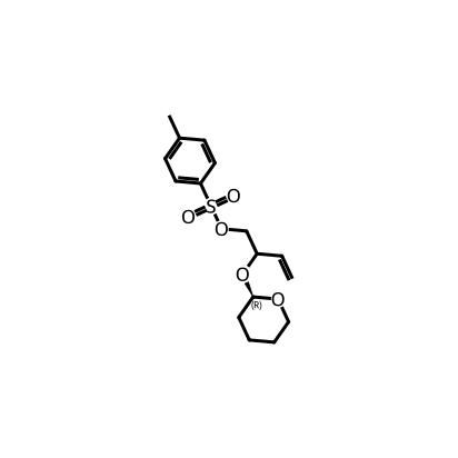 C=CC(COS(=O)(=O)c1ccc(C)cc1)O[C@@H]1CCCCO1